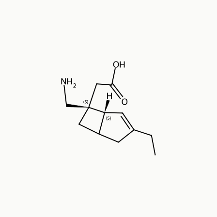 CCC1=C[C@@H]2C(C1)C[C@]2(CN)CC(=O)O